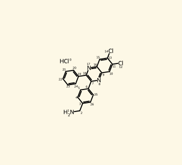 Cl.NCc1ccc(-c2nc3cc(Cl)c(Cl)cc3nc2-c2ccccc2)cc1